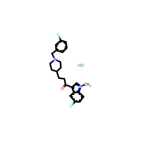 Cl.Cn1cc(C(=O)CCC2CCN(Cc3cccc(F)c3)CC2)c2cc(F)ccc21